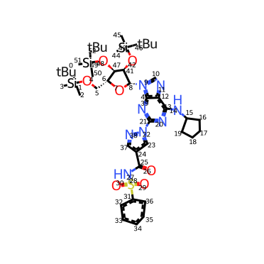 CC(C)(C)[Si](C)(C)OC[C@H]1O[C@@H](n2cnc3c(NC4CCCC4)nc(-n4cc(C(=O)NS(=O)(=O)c5ccccc5)cn4)nc32)[C@H](O[Si](C)(C)C(C)(C)C)[C@@H]1O[Si](C)(C)C(C)(C)C